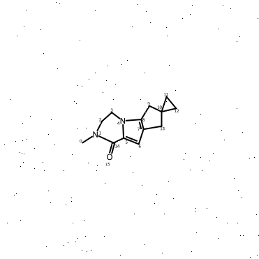 CN1CCn2c(cc3c2CC2(CC2)C3)C1=O